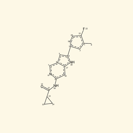 Cc1cc(-c2cc3cnc(NC(=O)C4CC4)cc3[nH]2)ccc1F